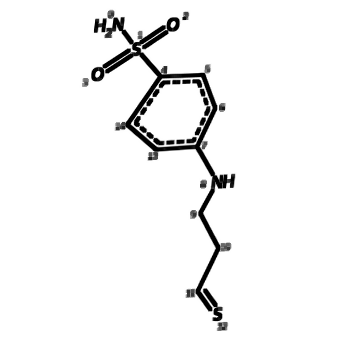 NS(=O)(=O)c1ccc(NCCC=S)cc1